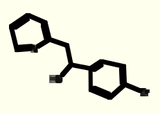 OC(Cc1ccccn1)c1ccc(Br)cc1